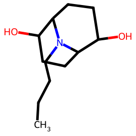 CCCCN1C2CCC(O)C1CCC2O